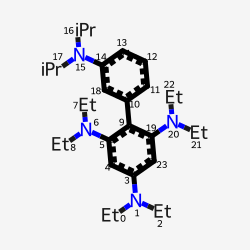 CCN(CC)c1cc(N(CC)CC)c(-c2cc[c]c(N(C(C)C)C(C)C)c2)c(N(CC)CC)c1